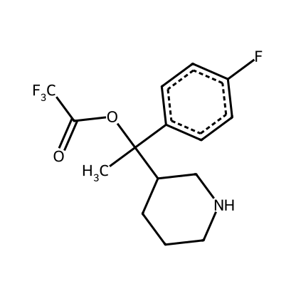 CC(OC(=O)C(F)(F)F)(c1ccc(F)cc1)C1CCCNC1